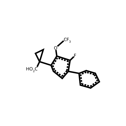 O=C(O)C1(c2ccc(-c3ccccc3)c(F)c2OC(F)(F)F)CC1